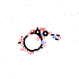 CO[C@H]1/C=C/O[C@@]2(C)Oc3c(C)c(O)c4c(=O)c(c5oc6cc(OCC[N+]7(C)CCOCC7)cc(O)c6nc-5c4c3C2=O)NC(=O)/C(C)=C\C=C\[C@H](C)[C@H](O)[C@@H](C)[C@@H](O)[C@@H](C)[C@H](OC(C)=O)[C@@H]1C